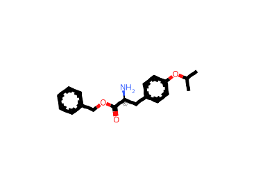 CC(C)Oc1ccc(C[C@H](N)C(=O)OCc2ccccc2)cc1